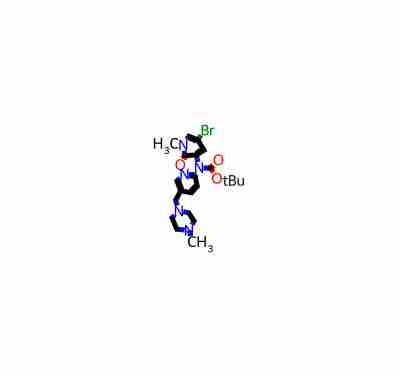 CN1CCN(Cc2ccc(N(C(=O)OC(C)(C)C)c3cc(Br)cn(C)c3=O)nc2)CC1